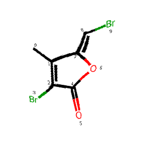 CC1=C(Br)C(=O)OC1=CBr